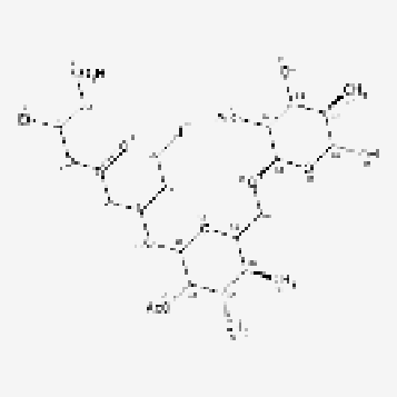 CCC(CC(=O)O)OC(=O)CC(CCI)OC1OC(CO[C@@H]2O[C@@H](O)[C@H](C)C(C)C2OC(C)=O)[C@@H](C)[C@H](C)C1OC(C)=O